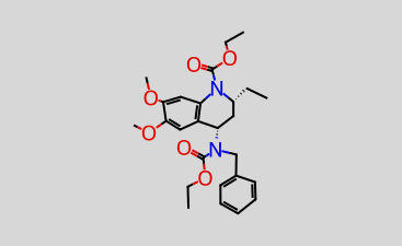 CCOC(=O)N(Cc1ccccc1)[C@H]1C[C@@H](CC)N(C(=O)OCC)c2cc(OC)c(OC)cc21